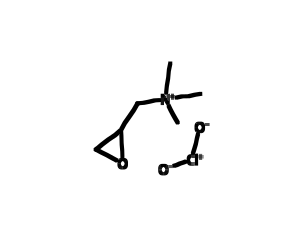 C[N+](C)(C)CC1CO1.[O-][Cl+][O-]